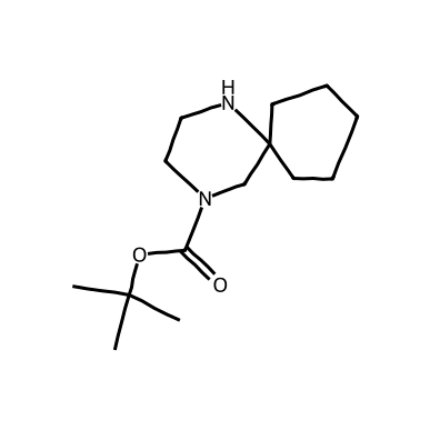 CC(C)(C)OC(=O)N1CCNC2(CCCCC2)C1